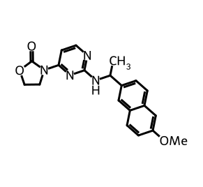 COc1ccc2cc(C(C)Nc3nccc(N4CCOC4=O)n3)ccc2c1